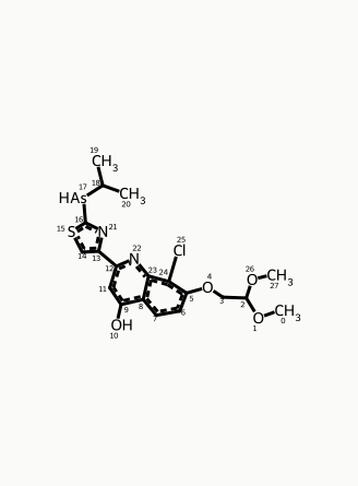 COC(COc1ccc2c(O)cc(-c3csc([AsH]C(C)C)n3)nc2c1Cl)OC